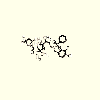 C=C(CCN(Cc1ccc(Cl)c(F)c1)S(=O)(=O)c1ccccc1)C1=NC(C)(C)[C@H](C(=O)N2CC(F)(F)C[C@H]2C)N1